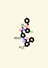 COc1cc(C(=O)N(C)c2ccc(Cl)cc2OCc2ccccc2)ccc1NC(=O)c1cc(C)ccc1-c1ccccc1